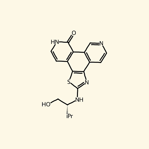 CC(C)[C@H](CO)Nc1nc2c3ccncc3c3c(=O)[nH]ccc3c2s1